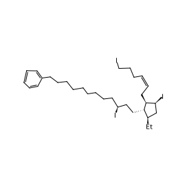 CC[C@@H]1C[C@H](I)[C@H](C/C=C\CCCI)[C@H]1CC[C@@H](I)CCCCCCCCCc1ccccc1